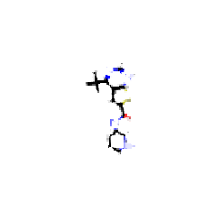 CC(C)(C)c1ncnc2c1CC(C(=O)NC1CCCNC1)S2